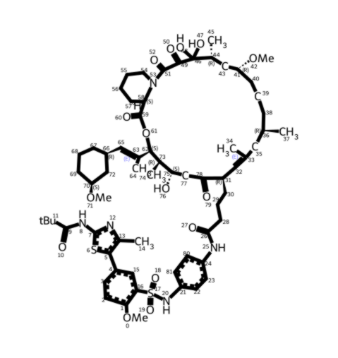 COc1ccc(-c2sc(NC(=O)C(C)(C)C)nc2C)cc1S(=O)(=O)Nc1ccc(NC(=O)CCC[C@@H]2/C=C(\C)C[C@H](C)CCC[C@@H](OC)C[C@@H](C)C(O)(O)C(=O)C(=O)N3CCCC[C@H]3C(=O)O[C@H](/C(C)=C/[C@@H]3CCC[C@H](OC)C3)[C@H](C)[C@@H](O)CC2=O)cc1